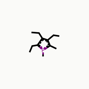 CCc1c(CC)c(CC)p(C)c1C